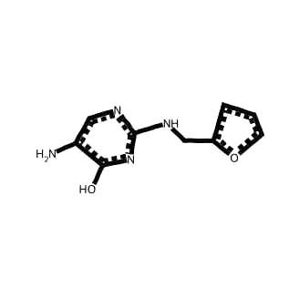 Nc1cnc(NCc2ccco2)nc1O